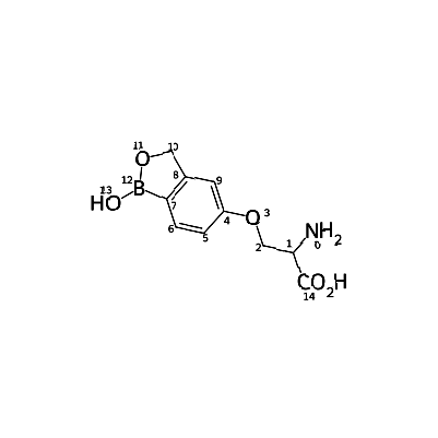 NC(COc1ccc2c(c1)COB2O)C(=O)O